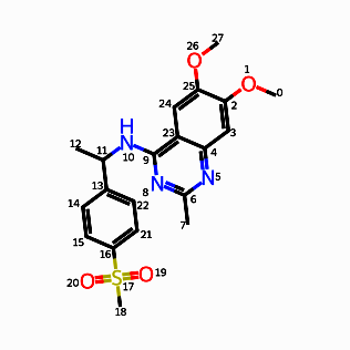 COc1cc2nc(C)nc(NC(C)c3ccc(S(C)(=O)=O)cc3)c2cc1OC